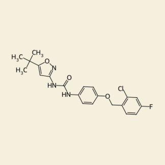 CC(C)(C)c1cc(NC(=O)Nc2ccc(OCc3ccc(F)cc3Cl)cc2)no1